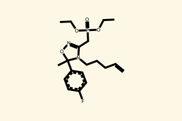 C=CCCCN1C(CP(=O)(OCC)OCC)=NOC1(C)c1ccc(F)cc1